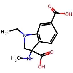 CCN1CC(NC)(C(=O)O)c2ccc(C(=O)O)cc21